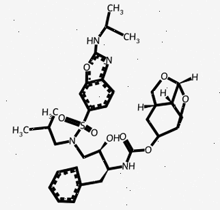 CC(C)CN(C[C@@H](O)[C@H](Cc1ccccc1)NC(=O)OC1C[C@@H]2CO[C@@H]3OC1C[C@H]23)S(=O)(=O)c1ccc2nc(NC(C)C)oc2c1